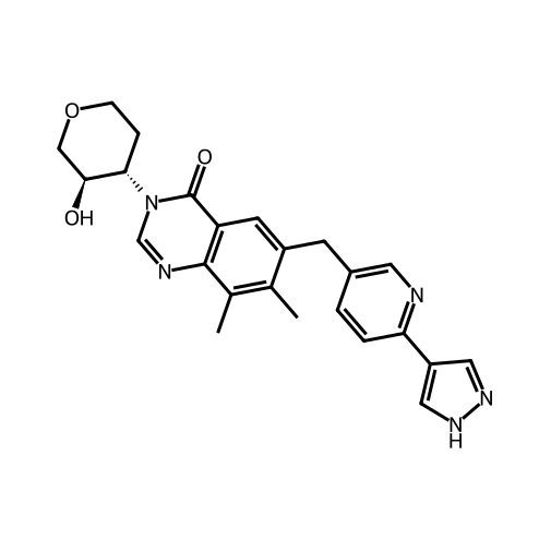 Cc1c(Cc2ccc(-c3cn[nH]c3)nc2)cc2c(=O)n([C@H]3CCOC[C@@H]3O)cnc2c1C